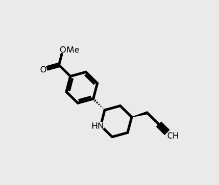 C#CC[C@H]1CCN[C@H](c2ccc(C(=O)OC)cc2)C1